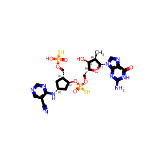 C[C@@H]1[C@H](O)[C@@H](COP(=O)(S)O[C@H]2C[C@H](Nc3ncncc3C#N)C[C@@H]2COP(=O)(O)S)O[C@H]1n1cnc2c(=O)[nH]c(N)nc21